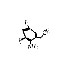 Nc1c(F)cc(F)cc1CO